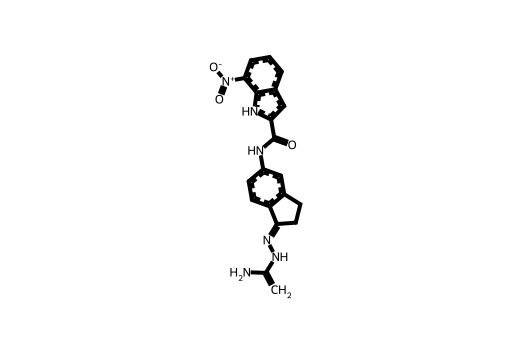 C=C(N)N/N=C1\CCc2cc(NC(=O)c3cc4cccc([N+](=O)[O-])c4[nH]3)ccc21